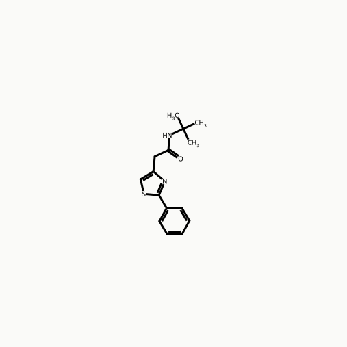 CC(C)(C)NC(=O)Cc1csc(-c2ccccc2)n1